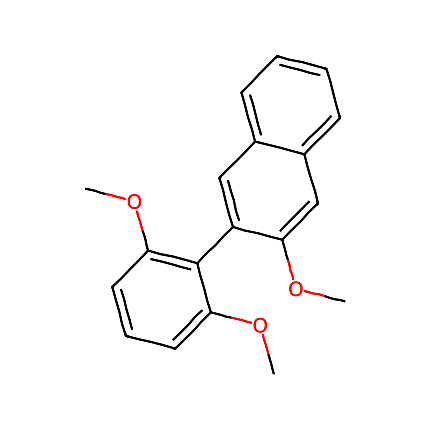 COc1cc2ccccc2cc1-c1c(OC)cccc1OC